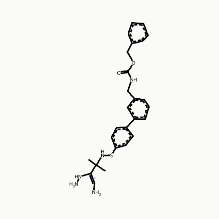 CC(C)(NSc1ccc(-c2cccc(CNC(=O)OCc3ccccc3)c2)cc1)/C(=C/N)NN